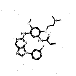 C=CC(=O)Nc1cc(Nc2ncc3ncn(-c4cccc(F)c4)c3n2)c(OC)cc1OCCN(C)C